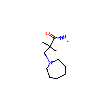 CC(C)(CN1CCCCCC1)C(N)=O